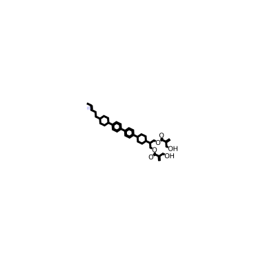 C=C(CO)C(=O)OCC(COC(=O)C(=C)CO)C1CCC(c2ccc(-c3ccc(C4CCC(CC/C=C/C)CC4)cc3)cc2)CC1